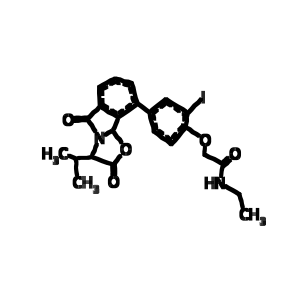 CCNC(=O)COc1ccc(-c2cccc3c2C2OC(=O)C(C(C)C)N2C3=O)cc1I